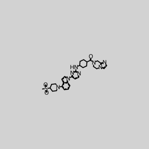 CS(=O)(=O)C1CCN(c2cccc3c2ccn3-c2ccnc(NC3CCC(C(=O)N4CCn5ccnc5C4)CC3)n2)CC1